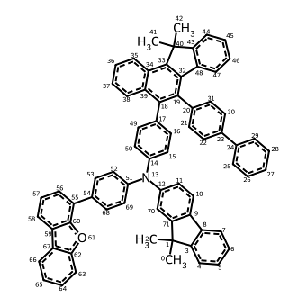 CC1(C)c2ccccc2-c2ccc(N(c3ccc(-c4c(-c5ccc(-c6ccccc6)cc5)c5c(c6ccccc46)C(C)(C)c4ccccc4-5)cc3)c3ccc(-c4cccc5c4oc4ccccc45)cc3)cc21